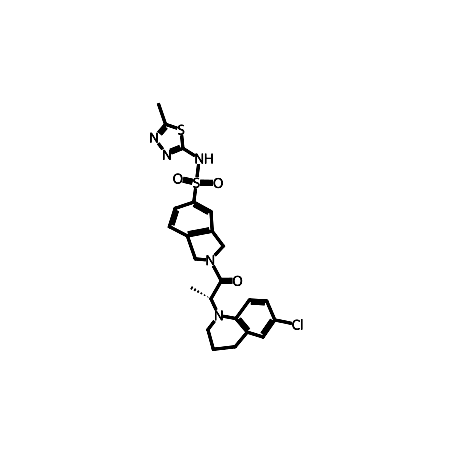 Cc1nnc(NS(=O)(=O)c2ccc3c(c2)CN(C(=O)[C@@H](C)N2CCCc4cc(Cl)ccc42)C3)s1